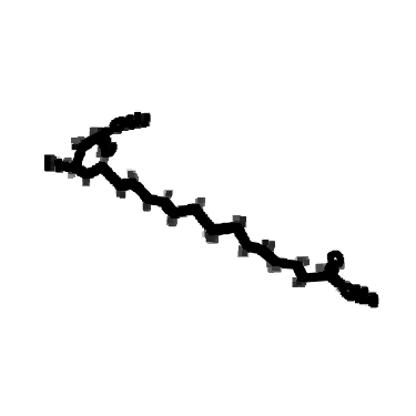 CCC(CCCCCCCCCCCCCCCC(=O)OC)CC(=O)OC